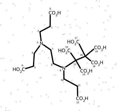 O=C(O)CCN(CCC(=O)O)CCN(CCC(=O)O)C(C(=O)O)(C(=O)O)C(C(=O)O)(C(=O)O)C(=O)O